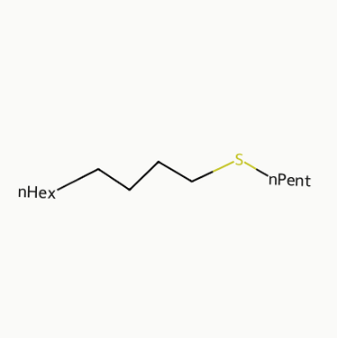 [CH2]CCCCCCCCCSCCCCC